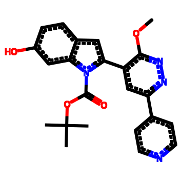 COc1nnc(-c2ccncc2)cc1-c1cc2ccc(O)cc2n1C(=O)OC(C)(C)C